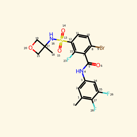 Cc1cc(NC(=O)c2c(Br)ccc(S(=O)(=O)NC3(C)COC3)c2F)cc(F)c1F